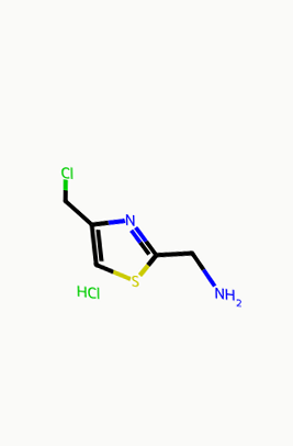 Cl.NCc1nc(CCl)cs1